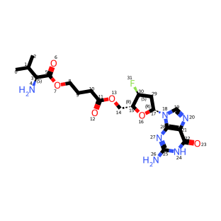 CC(C)[C@H](N)C(=O)OCCCC(=O)OC[C@H]1O[C@@H](n2cnc3c(=O)[nH]c(N)nc32)C[C@@H]1F